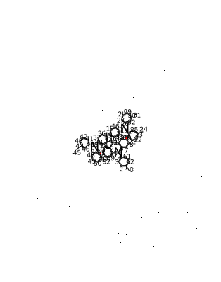 Cc1ccc(N2c3ccccc3C(c3cccc(N(c4cccc(C)c4)c4cccc(C)c4)c3)(c3cccc(N(c4cccc(C)c4)c4cccc(C)c4)c3)c3ccccc32)cc1